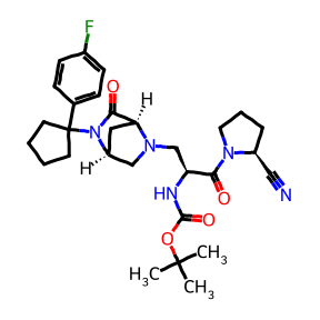 CC(C)(C)OC(=O)N[C@@H](CN1C[C@@H]2C[C@H]1C(=O)N2C1(c2ccc(F)cc2)CCCC1)C(=O)N1CCC[C@H]1C#N